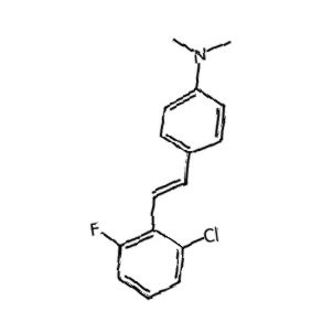 CN(C)c1ccc(/C=C/c2c(F)cccc2Cl)cc1